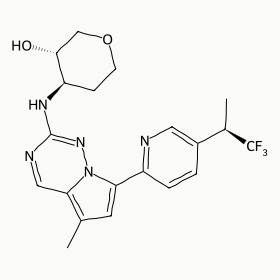 Cc1cc(-c2ccc([C@@H](C)C(F)(F)F)cn2)n2nc(N[C@@H]3CCOC[C@H]3O)ncc12